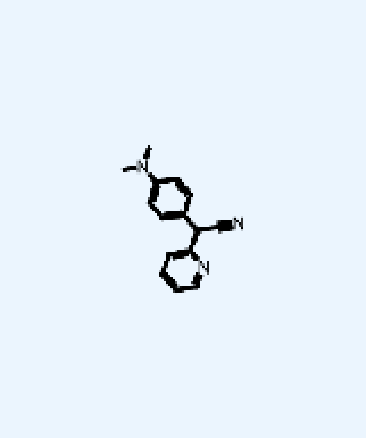 CN(C)c1ccc(C(C#N)c2ccccn2)cc1